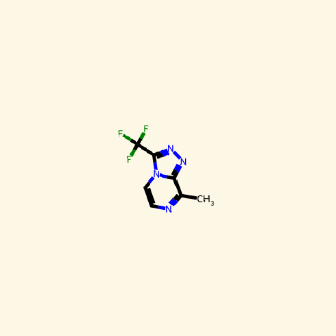 Cc1nccn2c(C(F)(F)F)nnc12